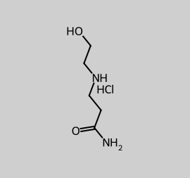 Cl.NC(=O)CCNCCO